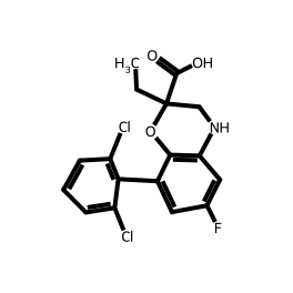 CCC1(C(=O)O)CNc2cc(F)cc(-c3c(Cl)cccc3Cl)c2O1